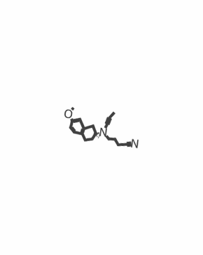 CC#CN(CCCC#N)[C@@H]1CCc2ccc(OC)cc2C1